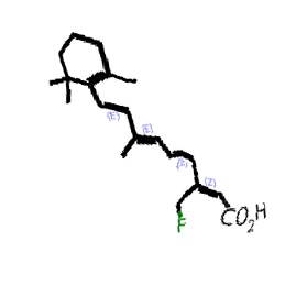 CC1=C(/C=C/C(C)=C/C=C/C(=C/C(=O)O)CF)C(C)(C)CCC1